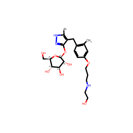 Cc1cc(OCCCNCCO)ccc1Cc1c(O[C@@H]2O[C@H](CO)[C@@H](O)[C@H](O)[C@H]2O)n[nH]c1C(C)C